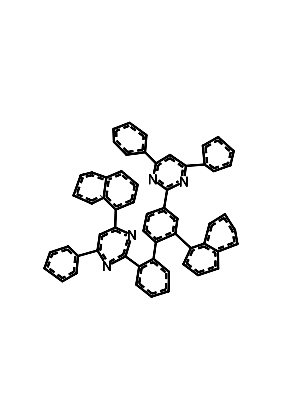 c1ccc(-c2cc(-c3ccccc3)nc(-c3ccc(-c4ccccc4-c4nc(-c5ccccc5)cc(-c5cccc6ccccc56)n4)c(-c4cccc5ccccc45)c3)n2)cc1